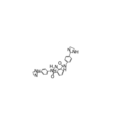 Nc1c(C(=O)Nc2ccc(C3=NCCN3)cc2)cccc1C(=O)Nc1ccc(C2=NCCN2)cc1